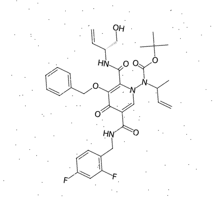 C=CC(C)N(C(=O)OC(C)(C)C)n1cc(C(=O)NCc2ccc(F)cc2F)c(=O)c(OCc2ccccc2)c1C(=O)N[C@H](C=C)CO